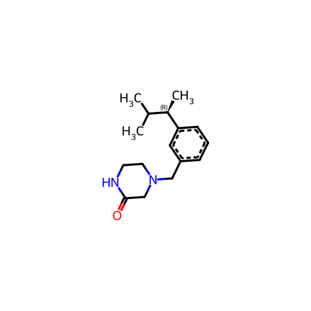 CC(C)[C@@H](C)c1cccc(CN2CCNC(=O)C2)c1